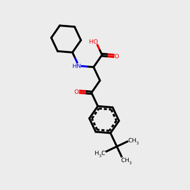 CC(C)(C)c1ccc(C(=O)CC(NC2CCCCC2)C(=O)O)cc1